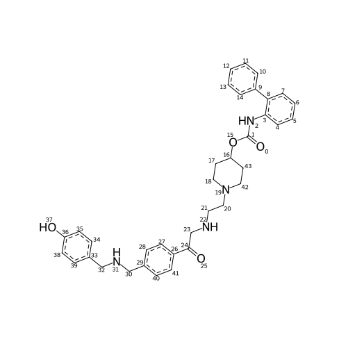 O=C(Nc1ccccc1-c1ccccc1)OC1CCN(CCNCC(=O)c2ccc(CNCc3ccc(O)cc3)cc2)CC1